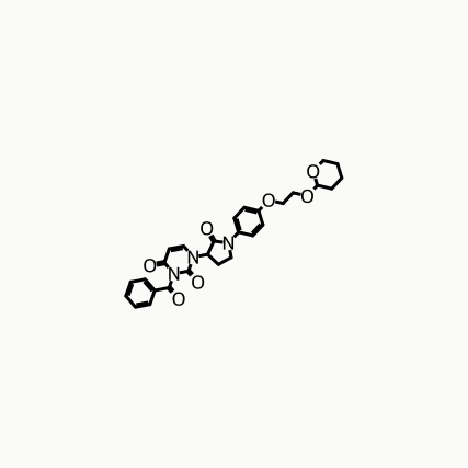 O=C1C(n2ccc(=O)n(C(=O)c3ccccc3)c2=O)CCN1c1ccc(OCCOC2CCCCO2)cc1